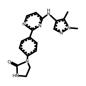 Cc1c(Nc2ccnc(-c3ccc(N4CCNC4=O)cc3)n2)cnn1C